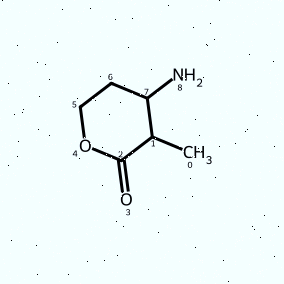 CC1C(=O)OCCC1N